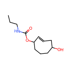 CCCNC(=O)OC1/C=C/CC(O)CCC1